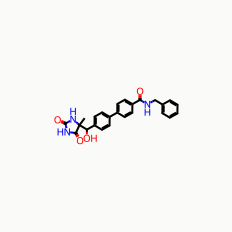 CC1(C(O)c2ccc(-c3ccc(C(=O)NCc4ccccc4)cc3)cc2)NC(=O)NC1=O